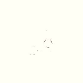 C=C.CCOc1cccc(OC2CCCCC2)c1